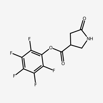 O=C1CC(C(=O)Oc2c(F)c(F)c(F)c(F)c2F)CN1